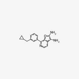 Nc1oc2c(-c3cccc(CC4CC4)c3)nccc2c1N